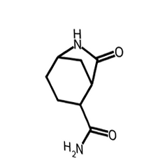 NC(=O)C1CCC2CC1C(=O)N2